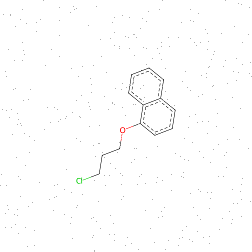 ClCCCOc1cccc2ccccc12